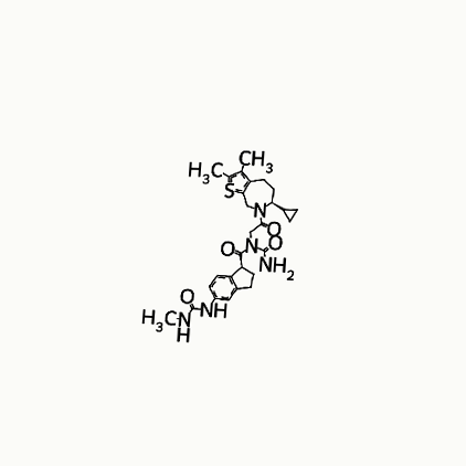 CNC(=O)Nc1ccc2c(c1)CC[C@@H]2C(=O)N(CC(=O)N1Cc2sc(C)c(C)c2CC[C@H]1C1CC1)C(N)=O